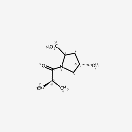 C[C@H](C(=O)N1C[C@@H](O)CC1C(=O)O)C(C)(C)C